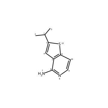 CC(C)c1cc2c(N)nccc2s1